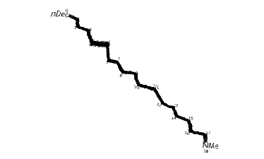 CCCCCCCCCCCCCCCCCCCCCCCCCCCNC